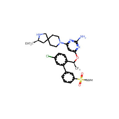 CCOC(=O)[C@@H]1CC2(CCN(c3cc(O[C@H](c4ccc(Cl)cc4-c4cccc(S(=O)(=O)NC)c4)C(F)(F)F)nc(N)n3)CC2)CN1